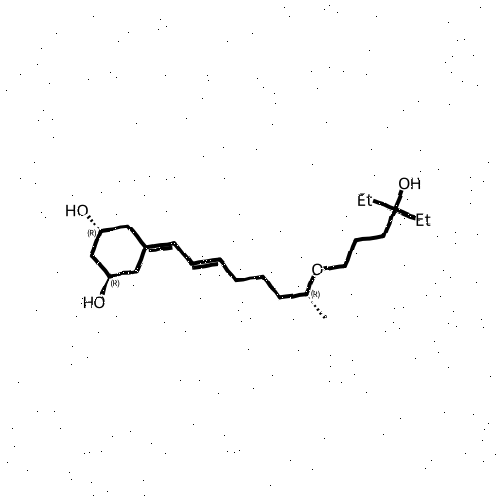 CCC(O)(CC)CCCO[C@H](C)CCCC=CC=C1C[C@@H](O)C[C@H](O)C1